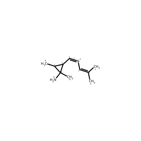 CC(C)=C/N=C\C1C(C)C1(C)N